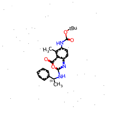 Cc1c(NC(=O)OC(C)(C)C)ccc2nc(N[C@@H](C)c3ccccc3)oc(=O)c12